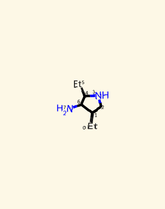 CCC1CNC(CC)C1N